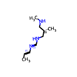 C/C=C/N=C/NC[C@@H](C)CNC